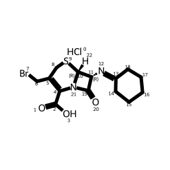 Cl.O=C(O)C1=C(CBr)CS[C@@H]2[C@H](N=C3CCCCC3)C(=O)N12